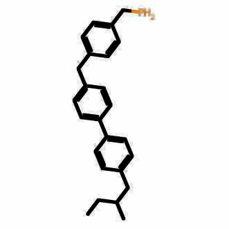 CCC(C)Cc1ccc(-c2ccc(Cc3ccc(CP)cc3)cc2)cc1